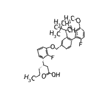 CCC[C@@H](CC(=O)O)c1cccc(OCc2ccc(-c3cc(OC)ccc3F)c([C@H](C)C(C)(C)C)c2)c1F